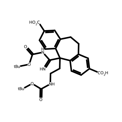 CC(C)(C)OC(=O)NCCC1(C(=N)NC(=O)OC(C)(C)C)c2ccc(C(=O)O)cc2CCc2cc(C(=O)O)ccc21